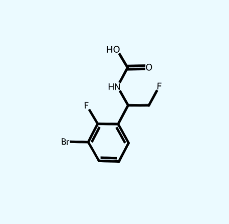 O=C(O)NC(CF)c1cccc(Br)c1F